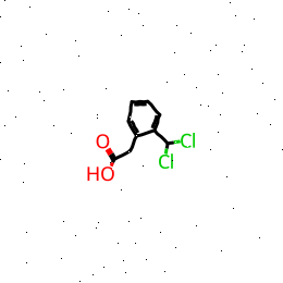 O=C(O)Cc1ccccc1C(Cl)Cl